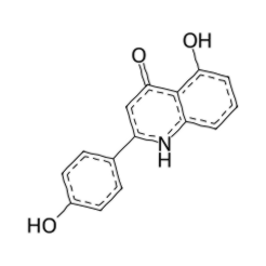 O=c1cc(-c2ccc(O)cc2)[nH]c2cccc(O)c12